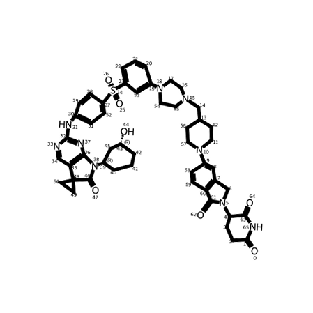 O=C1CCC(N2Cc3cc(N4CCC(CN5CCN(c6cccc(S(=O)(=O)c7ccc(Nc8ncc9c(n8)N([C@@H]8CCC[C@@H](O)C8)C(=O)C98CC8)cc7)c6)CC5)CC4)ccc3C2=O)C(=O)N1